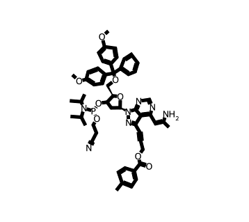 COc1ccc(C(OC[C@H]2O[C@@H](n3nc(C#CCOC(=O)c4ccc(C)cc4)c4c(C=C(C)N)ncnc43)CC2OP(OCCC#N)N(C(C)C)C(C)C)(c2ccccc2)c2ccc(OC)cc2)cc1